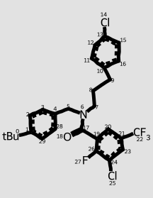 CC(C)(C)c1ccc(CN(CCCc2ccc(Cl)cc2)C(=O)c2cc(C(F)(F)F)cc(Cl)c2F)cc1